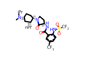 CCC[C@@H]1C[C@H](N(C)C(C)C)CC[C@@H]1N1CC[C@H](NC(=O)c2cc(C(F)(F)F)ccc2NS(=O)(=O)C(F)(F)F)C1=O